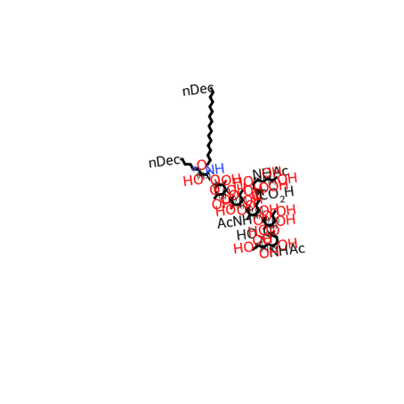 CCCCCCCCCCCCC/C=C/[C@@H](O)[C@H](CO[C@@H]1OC(CO)[C@@H](O[C@@H]2OC(CO)[C@H](O)[C@H](O[C@@H]3OC(CO[C@]4(C(=O)O)CC(O)[C@@H](NC(C)=O)C([C@H](O)[C@H](O)CO)O4)[C@@H](O)[C@H](O[C@@H]4OC(CO)[C@H](O)[C@H](O[C@]5(C(=O)O)CC(O)[C@@H](NC(C)=O)C([C@H](O)[C@H](O)CO)O5)C4O)C3NC(C)=O)C2O)[C@H](O)C1O)NC(=O)CCCCCCCCCCCCCCCCCCCCCCCCC